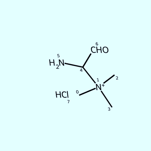 C[N+](C)(C)C(N)C=O.Cl